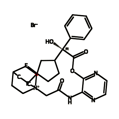 O=C(C[N+]12CCC(CC1)CC2)Nc1nccnc1OC(=O)[C@](O)(c1ccccc1)C1CCC(F)(F)C1.[Br-]